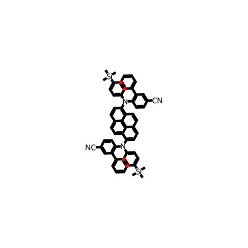 C[Si](C)(C)c1ccc(N(c2ccc(C#N)cc2-c2ccccc2)c2ccc3ccc4c(N(c5ccc([Si](C)(C)C)cc5)c5ccc(C#N)cc5-c5ccccc5)ccc5ccc2c3c54)cc1